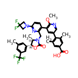 COc1ncc(-c2c(C)cc(C(=O)O)cc2C)cc1-c1ccc(N2CC(F)(F)C2)nc1CN1C(=O)O[C@H](c2cc(C)cc(C(F)(F)F)c2)[C@@H]1C